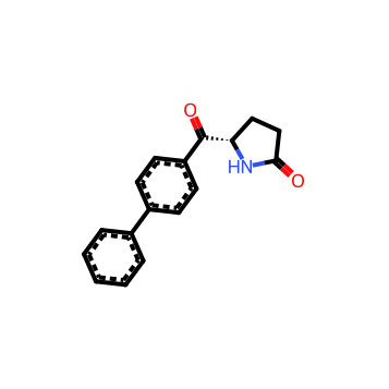 O=C1CC[C@@H](C(=O)c2ccc(-c3ccccc3)cc2)N1